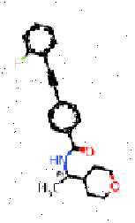 C[C@@H](NC(=O)c1ccc(C#Cc2ccccc2F)cc1)C1CCOCC1